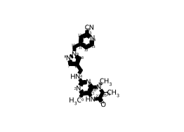 Cc1nc(NCc2cnn(Cc3ccnc(C#N)c3)c2)nc2c1NC(=O)[C@@H](C)N2C